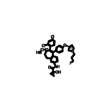 O=C(Nc1ccc2c(c1)CCCC(c1ccc(Cl)cc1Cl)=C2c1ccc(O[C@H]2CCN(CCCF)C2)cc1)C1(O)CC1.O=CO